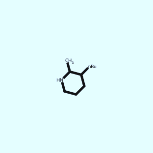 CCCCC1CCCNC1C